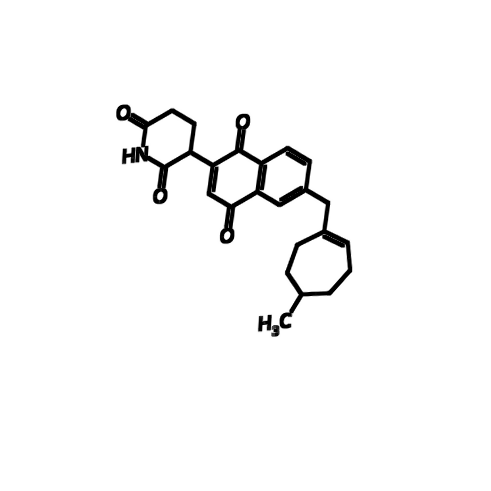 CC1CCC=C(Cc2ccc3c(c2)C(=O)C=C(C2CCC(=O)NC2=O)C3=O)CC1